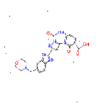 NC(=O)n1nc(-c2nc3cc(CN4CCOCC4)ccc3[nH]2)[c]c1-n1cccc(C(=O)O)c1=O